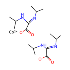 CC(C)N=C(NC(C)C)C(=O)[O-].CC(C)N=C(NC(C)C)C(=O)[O-].[Co+2]